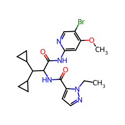 CCn1nccc1C(=O)NC(C(=O)Nc1cc(OC)c(Br)cn1)C(C1CC1)C1CC1